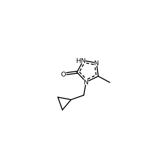 Cc1n[nH]c(=O)n1CC1CC1